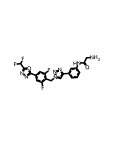 NCC(=O)Nc1cccc(-c2cn(Cc3c(F)cc(-c4nnc(C(F)F)o4)cc3F)nn2)c1